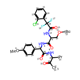 COc1ccc(C(NC(=O)C(COC(C)(C)C)NC(=O)C(F)(F)c2ccccc2Cl)C(=O)NC(C(=O)C(F)(F)F)C(C)C)cc1